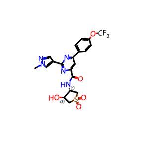 Cn1cc(-c2nc(C(=O)N[C@@H]3CS(=O)(=O)C[C@H]3O)cc(-c3ccc(OC(F)(F)F)cc3)n2)cn1